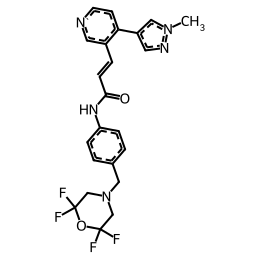 Cn1cc(-c2ccncc2C=CC(=O)Nc2ccc(CN3CC(F)(F)OC(F)(F)C3)cc2)cn1